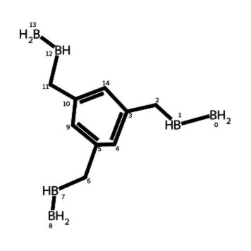 BBCc1cc(CBB)cc(CBB)c1